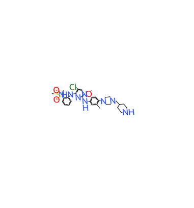 COc1cc(N2CCN(CC3CCNCC3)CC2)c(C)cc1Nc1ncc(Cl)c(Nc2ccccc2N(C)S(C)(=O)=O)n1